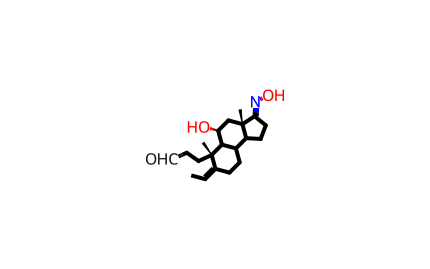 C/C=C1/CCC2C([C@@H](O)C[C@]3(C)/C(=N/O)CCC23)[C@@]1(C)CCC=O